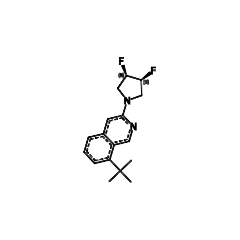 CC(C)(C)c1cccc2cc(N3C[C@@H](F)[C@@H](F)C3)ncc12